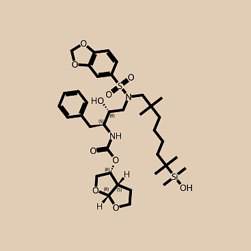 CC(C)(CCCCC(C)(C)[Si](C)(C)O)CN(C[C@@H](O)[C@H](Cc1ccccc1)NC(=O)O[C@H]1CO[C@H]2OCC[C@H]21)S(=O)(=O)c1ccc2c(c1)OCO2